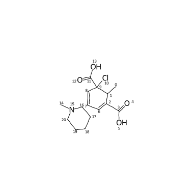 CC1C(C(=O)O)=CC=CC1(Cl)C(=O)O.CN1CCCCC1